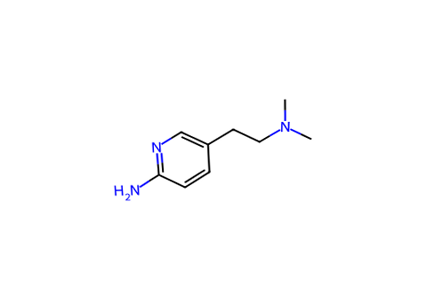 CN(C)CCc1ccc(N)nc1